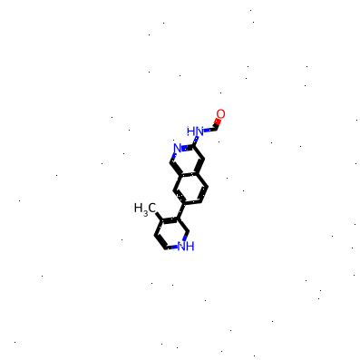 CC1=C(c2ccc3cc(NC=O)ncc3c2)CNC=C1